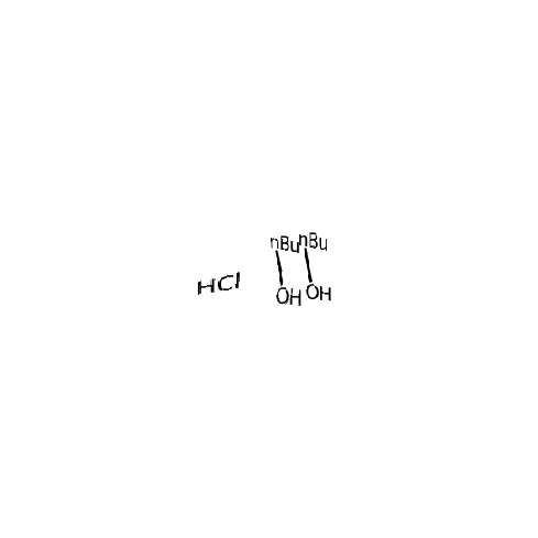 CCCCO.CCCCO.Cl